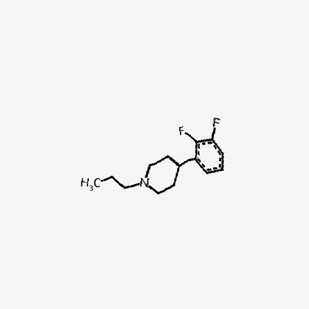 CCCN1CCC(c2cccc(F)c2F)CC1